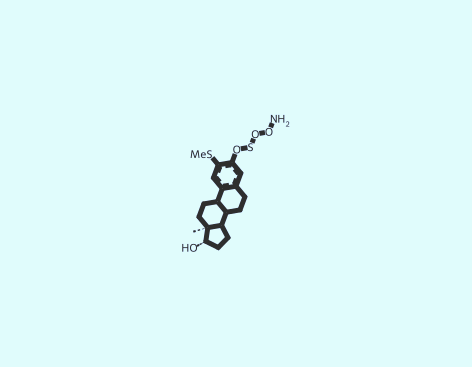 CSc1cc2c(cc1OSOON)CCC1C2CC[C@@]2(C)C1CC[C@@H]2O